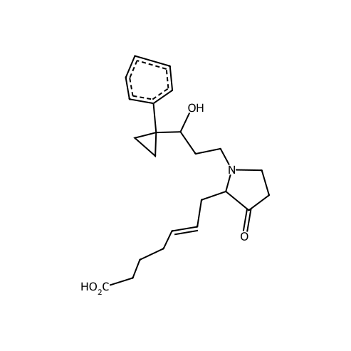 O=C(O)CCCC=CCC1C(=O)CCN1CCC(O)C1(c2ccccc2)CC1